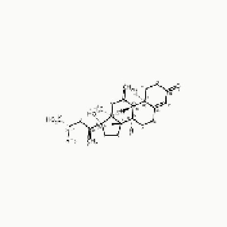 C=C1C[C@@]2(C)[C@@H](CC[C@@]2(O)C(=C)C[C@H](C)C(=O)O)[C@@H]2CCC3=CC(=O)CC[C@@H]3[C@@H]12